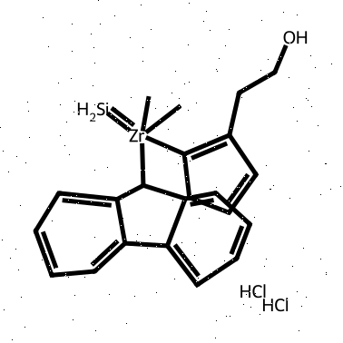 Cl.Cl.[CH3][Zr]([CH3])(=[SiH2])([C]1=C(CCO)C=CC1)[CH]1c2ccccc2-c2ccccc21